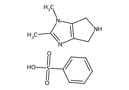 Cc1nc2c(n1C)CNC2.O=S(=O)(O)c1ccccc1